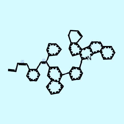 C=C/C=C\c1ccccc1/C=C(/c1ccccc1)c1cc(-c2cccc(-c3nc4c5ccccc5ccc4c4c5c(ccc34)CCC=C5)c2)c2ccccc2c1